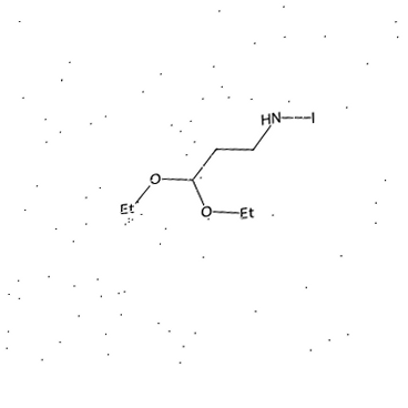 CCOC(CCNI)OCC